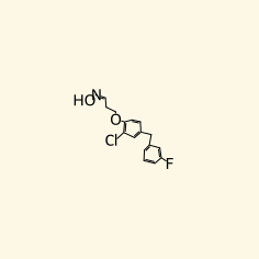 O/N=C\CCOc1ccc(Cc2cccc(F)c2)cc1Cl